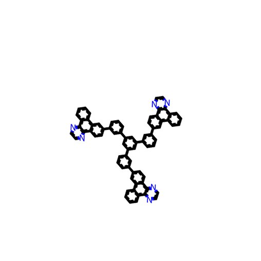 c1cc(-c2cc(-c3cccc(-c4ccc5c(c4)c4ccccc4c4nccnc54)c3)cc(-c3cccc(-c4ccc5c(c4)c4ccccc4c4nccnc54)c3)c2)cc(-c2ccc3c(c2)c2ccccc2c2nccnc32)c1